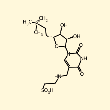 C=P(C)(C)CC[C@H]1OC(n2cc(CNCCS(=O)(=O)O)c(=O)[nH]c2=O)[C@H](O)[C@@H]1O